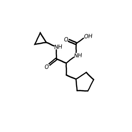 O=C(O)NC(CC1CCCC1)C(=O)NC1CC1